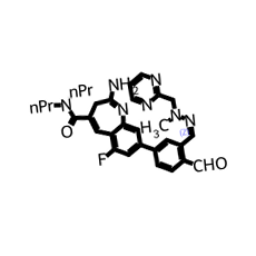 CCCN(CCC)C(=O)C1=Cc2c(F)cc(-c3ccc(C=O)c(/C=N\N(C)Cc4ncccn4)c3)cc2N=C(N)C1